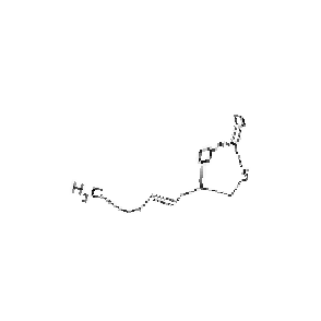 CCC=CC1CSC(=O)O1